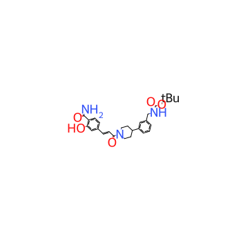 CC(C)(C)OC(=O)NCc1cccc(C2CCN(C(=O)/C=C/c3ccc(C(N)=O)c(O)c3)CC2)c1